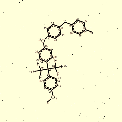 COc1ccc(C(c2ccc(Oc3ccc(Cc4ccc(C)cc4)cc3)cc2)(C(F)(F)F)C(F)(F)F)cc1